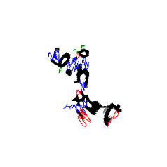 C[C@H]1c2c(nn(-c3ccc(F)c(F)c3)c2-n2ccn(-c3ccc4c(cnn4C)c3F)c2=O)CCN1C(=O)c1cc2n(c1C1(c3noc(=O)[nH]3)CC1)C=CC([C@@H]1CCOC(C)(C)C1)C2